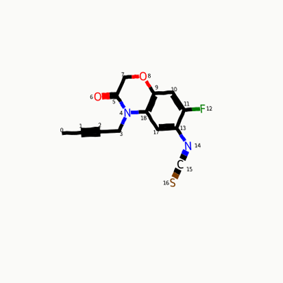 CC#CCN1C(=O)COc2cc(F)c(N=C=S)cc21